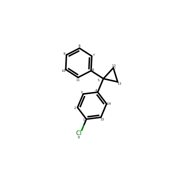 Clc1ccc(C2(c3ccccc3)[CH]C2)cc1